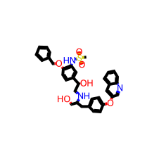 CS(=O)(=O)Nc1cc([C@@H](O)CNC(CO)Cc2ccc(Oc3cnc4ccccc4c3)cc2)ccc1OCc1ccccc1